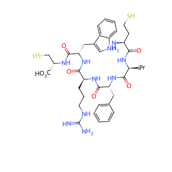 CC(C)[C@H](NC(=O)[C@@H](N)CCS)C(=O)N[C@H](Cc1ccccc1)C(=O)N[C@@H](CCCNC(=N)N)C(=O)N[C@@H](Cc1c[nH]c2ccccc12)C(=O)N[C@@H](CS)C(=O)O